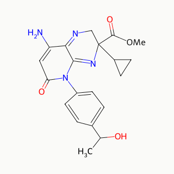 COC(=O)C1(C2CC2)CN=c2c(N)cc(=O)n(-c3ccc(C(C)O)cc3)c2=N1